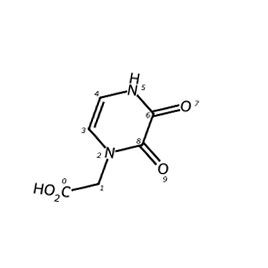 O=C(O)Cn1cc[nH]c(=O)c1=O